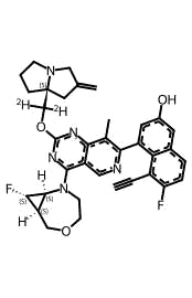 [2H]C([2H])(Oc1nc(N2CCOC[C@H]3[C@H](F)[C@H]32)c2cnc(-c3cc(O)cc4ccc(F)c(C#C)c34)c(C)c2n1)[C@@]12CCCN1CC(=C)C2